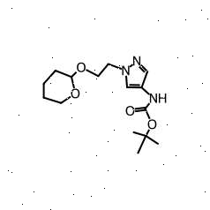 CC(C)(C)OC(=O)Nc1cnn(CCOC2CCCCO2)c1